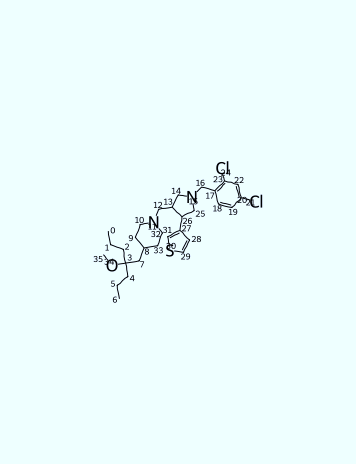 CCCC(CCC)(CC1CCN(CC2CN(Cc3ccc(Cl)cc3Cl)CC2c2ccsc2)CC1)OC